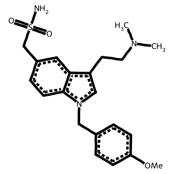 COc1ccc(Cn2cc(CCN(C)C)c3cc(CS(N)(=O)=O)ccc32)cc1